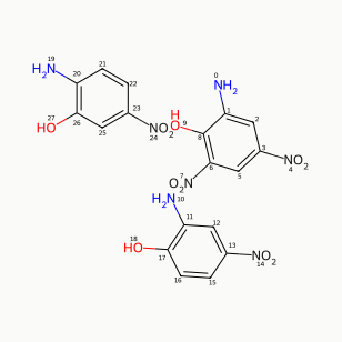 Nc1cc([N+](=O)[O-])cc([N+](=O)[O-])c1O.Nc1cc([N+](=O)[O-])ccc1O.Nc1ccc([N+](=O)[O-])cc1O